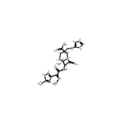 Nc1nc(C(=NO)C(=O)NC2C(=O)N3CC(CSc4nncs4)(C(=O)O)CS[C@H]23)ns1